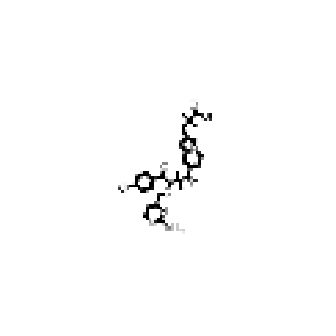 CC(C)(Cc1cc2cc(C(=O)C(C)(C)C(OCc3ccnc(N)n3)C(=O)c3ccc(Cl)cc3)ccn2c1)C(=O)O